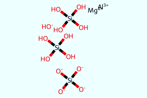 O[Si](O)(O)O.O[Si](O)(O)O.[Al+3].[Mg+2].[O-][Si]([O-])([O-])[O-].[OH-]